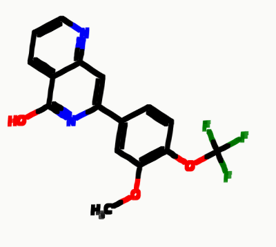 COc1cc(-c2cc3ncccc3c(O)n2)ccc1OC(F)(F)F